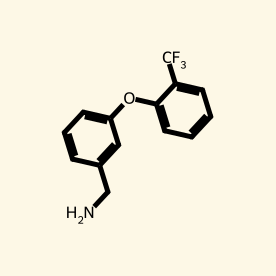 NCc1cccc(Oc2ccccc2C(F)(F)F)c1